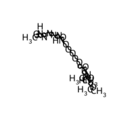 CCc1cc2ncc(CN3CCN(c4ccc(C(=O)NCCOCCOCCOCCOCCOc5cccc(C(=O)N6CCc7c(nc(C(=O)Nc8ccc(OC(C)C)cc8)n7C(C)C)C6)c5)nc4)CC3)cc2[nH]c1=O